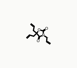 C=C[CH]N1C(=O)OC(CC=C)(CC=C)C1=O